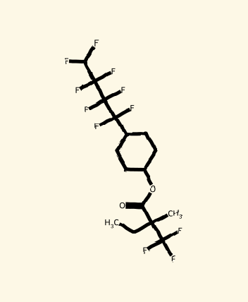 CCC(C)(C(=O)OC1CCC(C(F)(F)C(F)(F)C(F)(F)C(F)F)CC1)C(F)(F)F